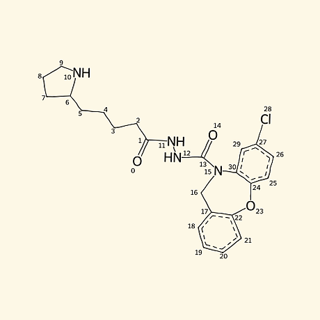 O=C(CCCCC1CCCN1)NNC(=O)N1Cc2ccccc2Oc2ccc(Cl)cc21